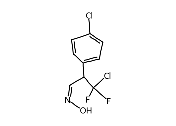 O/N=C\C(c1ccc(Cl)cc1)C(F)(F)Cl